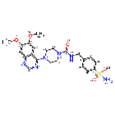 COc1cc2ncnc(N3CCN(C(=O)NCc4ccc(S(N)(=O)=O)cc4)CC3)c2cc1OC